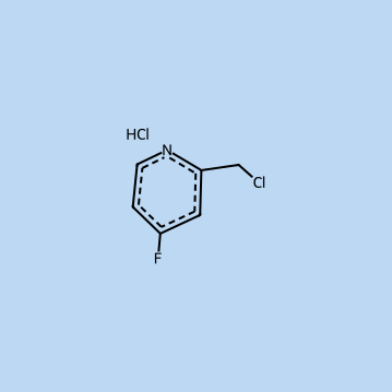 Cl.Fc1ccnc(CCl)c1